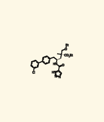 CCOC[C@](C)(C[C@@H](Cc1ccc(-c2cccc(Cl)c2)cc1)NC(=O)c1cnn[nH]1)C(=O)OCC